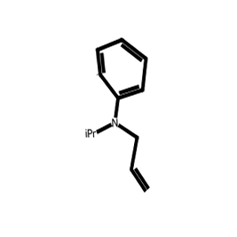 C=CCN(c1[c]cccc1)C(C)C